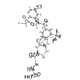 CCS(=O)(=O)c1ccc(Cl)cc1N(C)C(=O)c1cc(Cl)c(CN2CCN(C(=O)CNC(=O)O)CC2)c(C(F)(F)F)c1